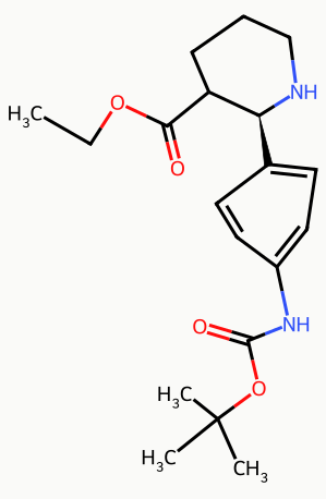 CCOC(=O)C1CCCN[C@H]1c1ccc(NC(=O)OC(C)(C)C)cc1